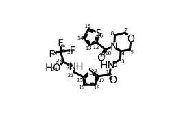 O=C(NCC1COCCN1C(=O)c1cccs1)c1ccc(CNC(O)C(F)(F)F)s1